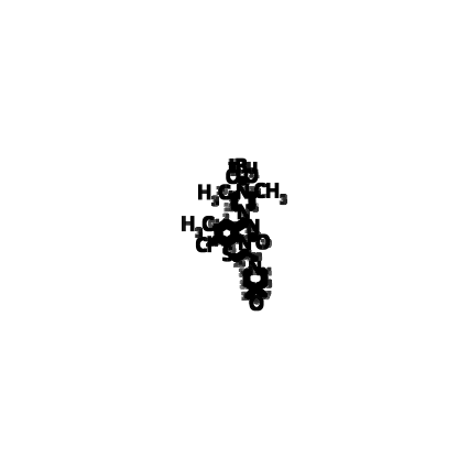 Cc1cc2c(N3CC(C)N(C(=O)OC(C)(C)C)[C@H](C)C3)nc(=O)n3c2c(c1Cl)SC[C@@H]3CN1CCC2(CC1)COC2